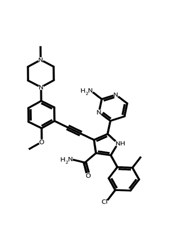 COc1ccc(N2CCN(C)CC2)cc1C#Cc1c(-c2ccnc(N)n2)[nH]c(-c2cc(Cl)ccc2C)c1C(N)=O